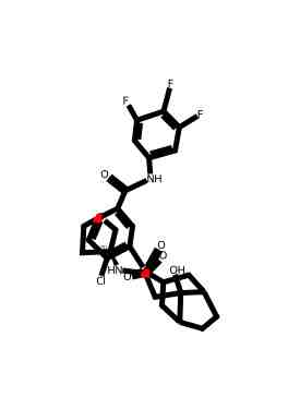 O=C(CC1(O)C2CCC1CC(S(=O)(=O)c1cc(C(=O)Nc3cc(F)c(F)c(F)c3)ccc1Cl)C2)N[C@H]1CCOC1